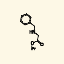 CC(C)OC(=O)CNCc1ccccc1